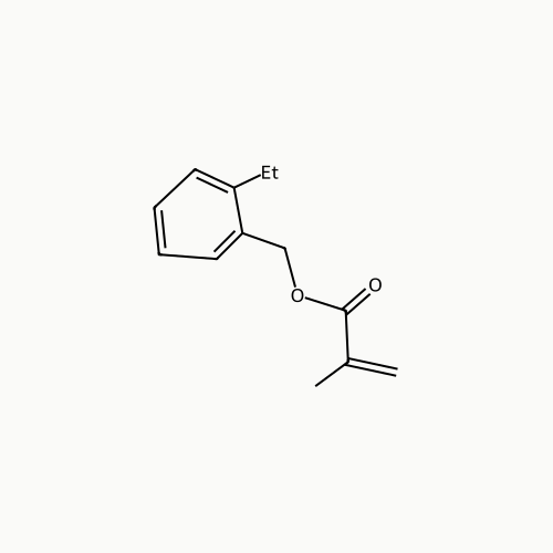 C=C(C)C(=O)OCc1ccccc1CC